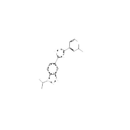 CC1C=C(c2nc(-c3ccc4c(c3)nnn4C(C)C)no2)C=CO1